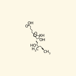 CC#CCC(C)[C@H](O)/C=C/[C@@H]1c2cc(CCCCC(=O)O)oc2C[C@H]1O.[KH]